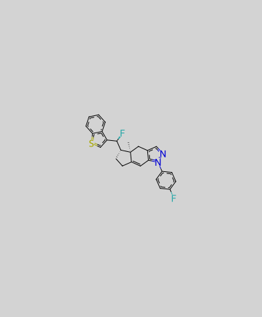 C[C@]12Cc3cnn(-c4ccc(F)cc4)c3C=C1CC[C@@H]2[C@H](F)c1csc2ccccc12